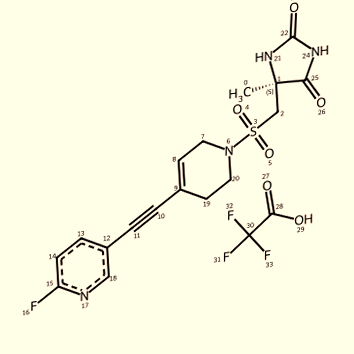 C[C@]1(CS(=O)(=O)N2CC=C(C#Cc3ccc(F)nc3)CC2)NC(=O)NC1=O.O=C(O)C(F)(F)F